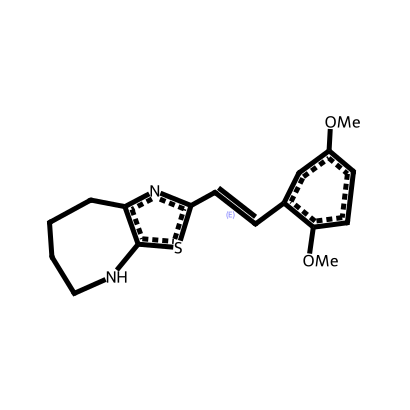 COc1ccc(OC)c(/C=C/c2nc3c(s2)NCCCC3)c1